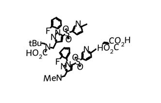 CNCc1cc(S(=O)(=O)c2ccc(C)nc2)n(-c2ccccc2F)n1.Cc1ccc(S(=O)(=O)c2cc(CN(CC(C)(C)C)C(=O)O)nn2-c2ccccc2F)cn1.O=C(O)C=CC(=O)O